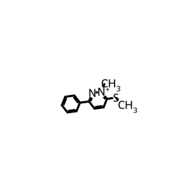 CSc1ccc(-c2ccccc2)n[n+]1C